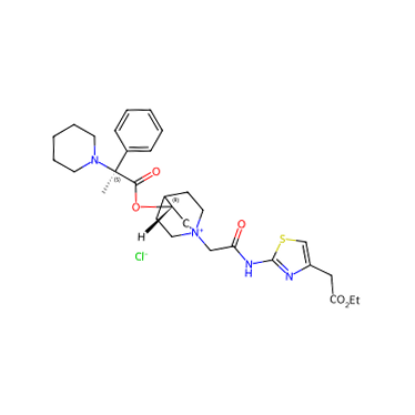 CCOC(=O)Cc1csc(NC(=O)C[N+]23CCC(CC2)[C@@H](OC(=O)[C@](C)(c2ccccc2)N2CCCCC2)C3)n1.[Cl-]